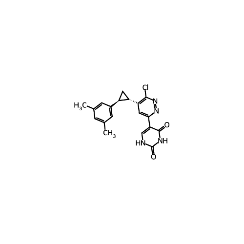 Cc1cc(C)cc([C@H]2C[C@@H]2c2cc(-c3c[nH]c(=O)[nH]c3=O)nnc2Cl)c1